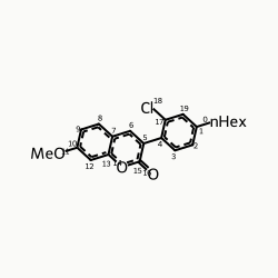 CCCCCCc1ccc(-c2cc3ccc(OC)cc3oc2=O)c(Cl)c1